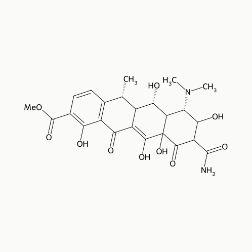 COC(=O)c1ccc2c(c1O)C(=O)C1=C(O)C3(O)C(=O)C(C(N)=O)C(O)[C@@H](N(C)C)C3[C@@H](O)C1[C@H]2C